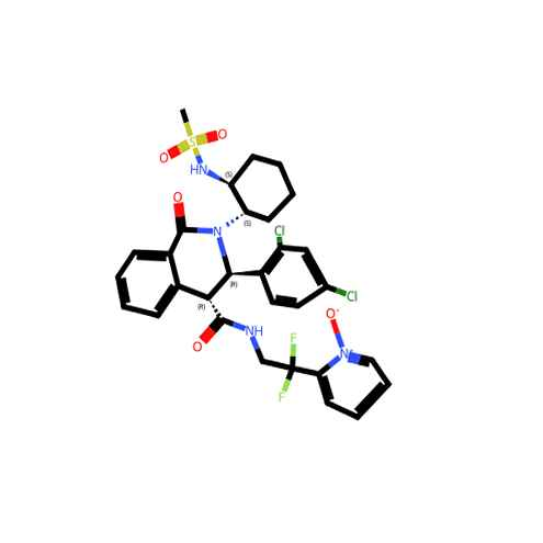 CS(=O)(=O)N[C@H]1CCCC[C@@H]1N1C(=O)c2ccccc2[C@@H](C(=O)NCC(F)(F)c2cccc[n+]2[O-])[C@@H]1c1ccc(Cl)cc1Cl